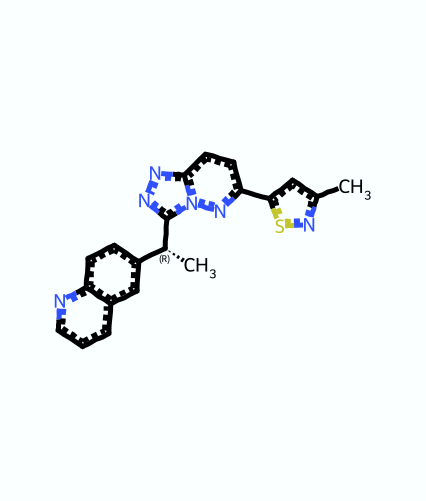 Cc1cc(-c2ccc3nnc([C@H](C)c4ccc5ncccc5c4)n3n2)sn1